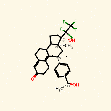 C[C@@H](O)c1ccc([C@H]2C[C@@]3(C)C(CC[C@@]3(O)C(F)(F)C(F)(F)F)C3CCC4=CC(=O)CCC4=C32)cc1